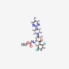 CC(C)(C)OC(=O)N=CC1C[C@@H](N2CCN(c3ncc(I)cn3)CC2)CO[C@@H]1c1cc(F)ccc1F